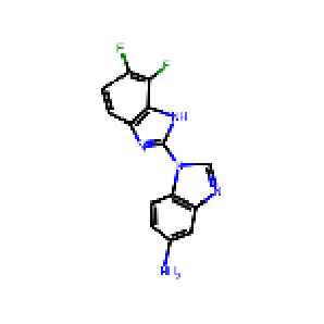 Nc1ccc2c(c1)ncn2-c1nc2ccc(F)c(F)c2[nH]1